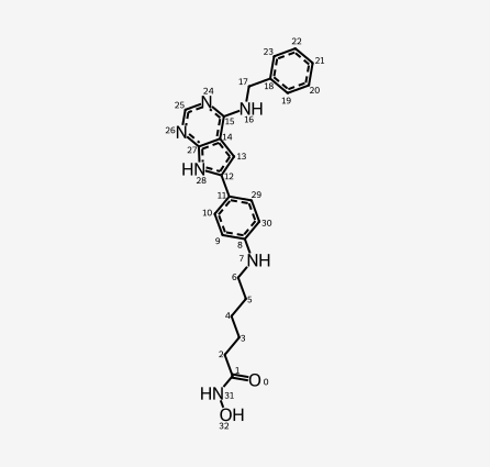 O=C(CCCCCNc1ccc(-c2cc3c(NCc4ccccc4)ncnc3[nH]2)cc1)NO